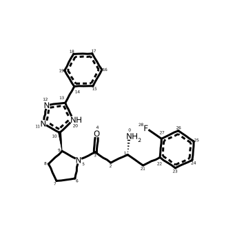 N[C@@H](CC(=O)N1CCC[C@H]1c1nnc(-c2ccccc2)[nH]1)Cc1ccccc1F